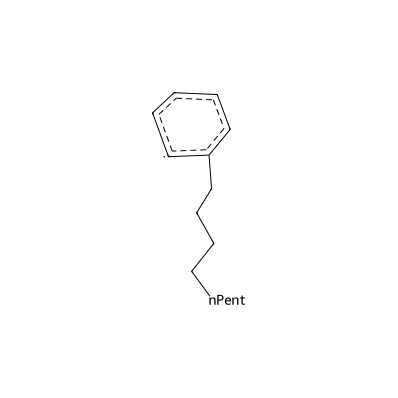 CCCCCCCCCc1[c]cccc1